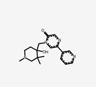 CN1CCC(O)(Cn2cc(-c3cccnc3)ncc2=O)C(C)(C)C1